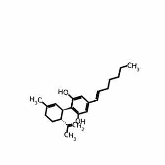 C=C(C)[C@@H]1CCC(C)=C[C@H]1c1c(O)cc(/C=C/CCCCC)cc1O